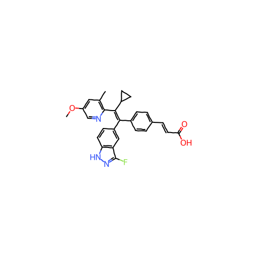 COc1cnc(C(=C(c2ccc(C=CC(=O)O)cc2)c2ccc3[nH]nc(F)c3c2)C2CC2)c(C)c1